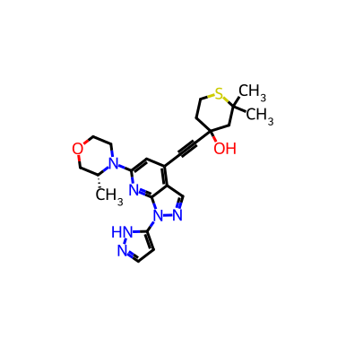 C[C@@H]1COCCN1c1cc(C#CC2(O)CCSC(C)(C)C2)c2cnn(-c3ccn[nH]3)c2n1